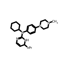 CCCC1C=CN=C(N(c2ccc(N3CCN(C)CC3)cc2)C2CCCCC2)N1